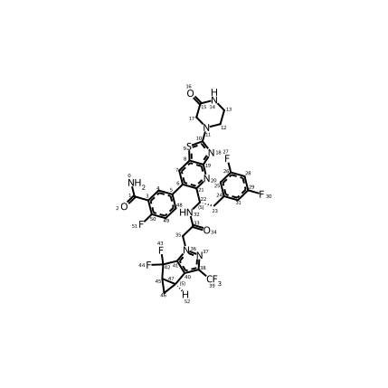 NC(=O)c1cc(-c2cc3sc(N4CCNC(=O)C4)nc3nc2[C@H](Cc2cc(F)cc(F)c2)NC(=O)Cn2nc(C(F)(F)F)c3c2C(F)(F)C2C[C@H]32)ccc1F